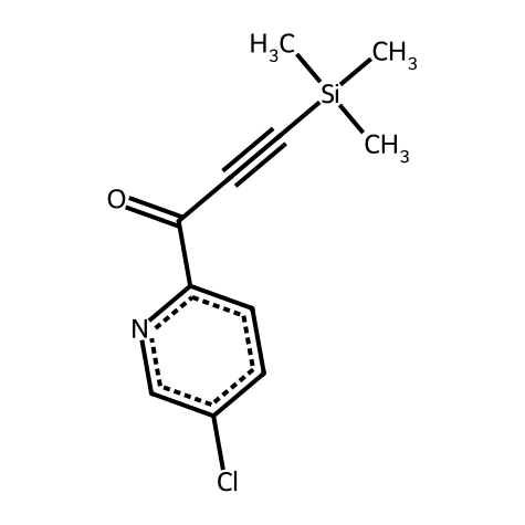 C[Si](C)(C)C#CC(=O)c1ccc(Cl)cn1